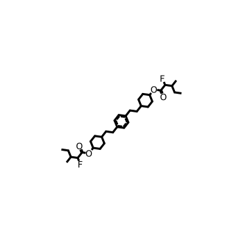 CCC(C)C(F)C(=O)OC1CCC(CCc2ccc(CCC3CCC(OC(=O)C(F)C(C)CC)CC3)cc2)CC1